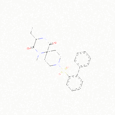 CCCN1C(=O)C(CC(C)C)NC(=O)C12CCN(S(=O)(=O)c1ccccc1-c1ccccc1)CC2